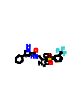 CC(C)(CCNC(=O)[C@@H]1C[C@@H](C2CCCCC2)CN1)S(=O)(=O)c1cccc(C(F)(F)F)c1